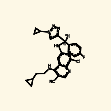 [2H][C@](Nc1cc(Cl)c2ncc(C#N)c(NCCC3CC3)c2c1)(c1ccc(F)cc1)c1cn(C2CC2)nn1